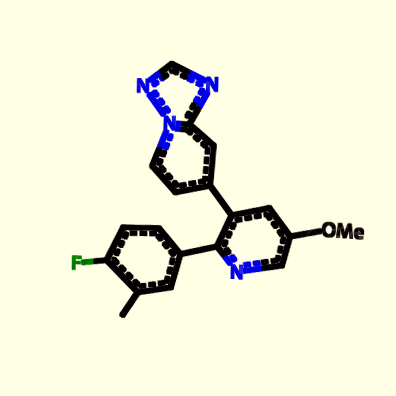 COc1cnc(-c2ccc(F)c(C)c2)c(-c2ccn3ncnc3c2)c1